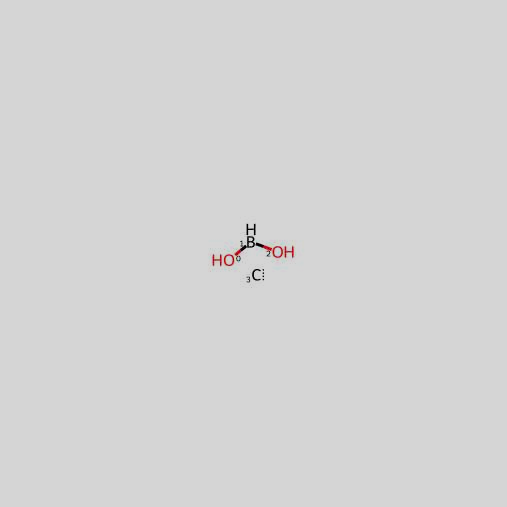 OBO.[C]